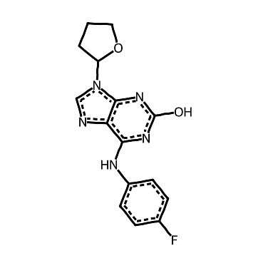 Oc1nc(Nc2ccc(F)cc2)c2ncn(C3CCCO3)c2n1